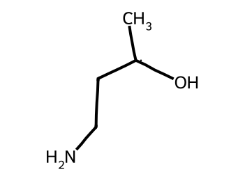 C[C](O)CCN